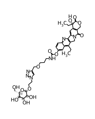 CCc1c2c(nc3ccc(OC(=O)NCCCOCc4cn(CCO[C@H]5O[C@@H](CO)[C@H](O)[C@@H](O)[C@@H]5O)nn4)cc13)-c1cc3c(c(=O)n1C2)COC(=O)[C@]3(O)CC